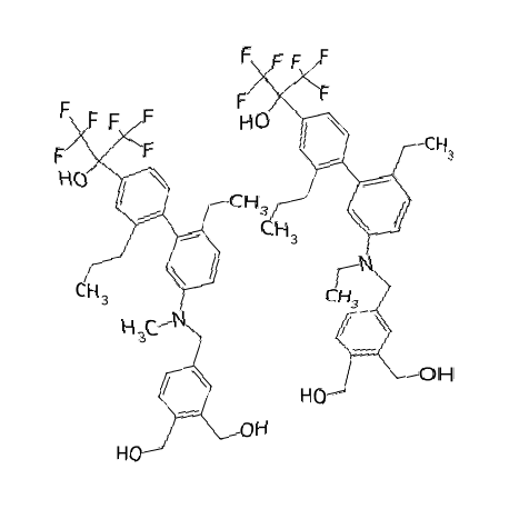 CCCc1cc(C(O)(C(F)(F)F)C(F)(F)F)ccc1-c1cc(N(C)Cc2ccc(CO)c(CO)c2)ccc1CC.CCCc1cc(C(O)(C(F)(F)F)C(F)(F)F)ccc1-c1cc(N(CC)Cc2ccc(CO)c(CO)c2)ccc1CC